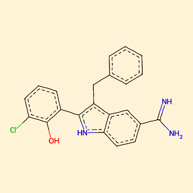 N=C(N)c1ccc2[nH]c(-c3cccc(Cl)c3O)c(Cc3ccccc3)c2c1